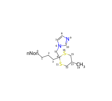 CCCCCCCCCCCCC1(Cn2ccnc2)SCC(C)CS1